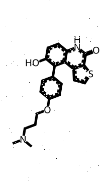 CN(C)CCCOc1ccc(-c2c(O)ccc3[nH]c(=O)c4sccc4c23)cc1